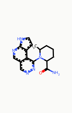 CC1CC[CH]C(C(N)=O)N1c1nncc2cnc3[nH]ccc3c12